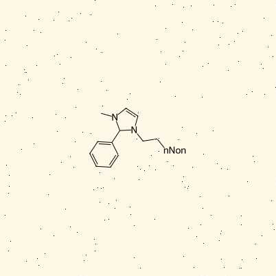 CCCCCCCCCCCN1C=CN(C)C1c1ccccc1